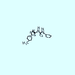 CC1CCN(c2nnc(NC(=O)NC3CCCC3)s2)CC1